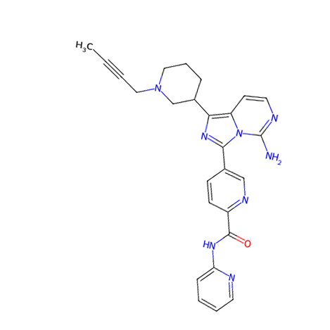 CC#CCN1CCCC(c2nc(-c3ccc(C(=O)Nc4ccccn4)nc3)n3c(N)nccc23)C1